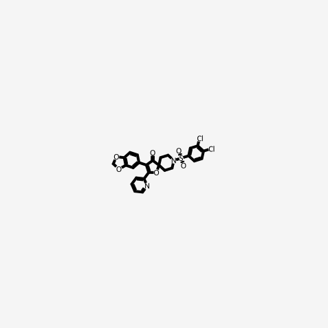 O=C1C(c2ccc3c(c2)OCO3)=C(c2ccccn2)OC12CCN(S(=O)(=O)c1ccc(Cl)c(Cl)c1)CC2